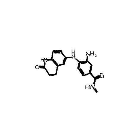 CNC(=O)c1ccc(Nc2ccc3c(c2)CCC(=O)N3)c(N)c1